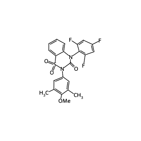 COc1c(C)cc(N2C(=O)N(c3c(F)cc(F)cc3F)c3ccccc3S2(=O)=O)cc1C